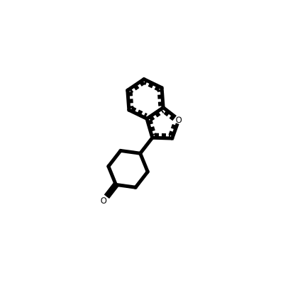 O=C1CCC(c2coc3ccccc23)CC1